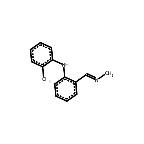 C/N=C/c1ccccc1Nc1ccccc1C